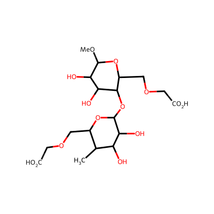 COC1OC(COCC(=O)O)C(OC2OC(COCC(=O)O)C(C)C(O)C2O)C(O)C1O